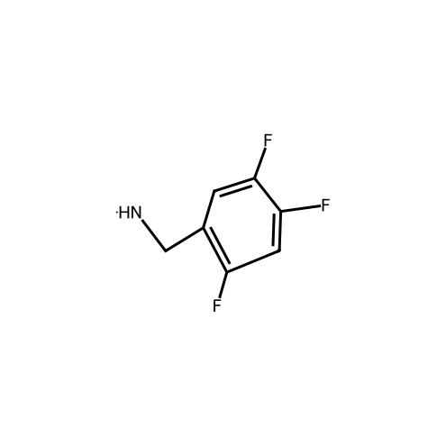 [NH]Cc1cc(F)c(F)cc1F